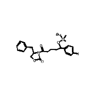 CC(C)(C)[Si](C)(C)OC(CCCC(=O)N1C(=O)OCC1Cc1ccccc1)c1ccc(F)cc1